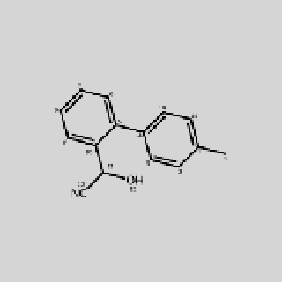 Cc1ccc(-c2ccccc2C(O)C#N)cc1